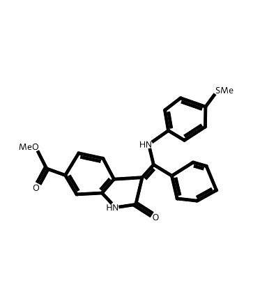 COC(=O)c1ccc2c(c1)NC(=O)C2=C(Nc1ccc(SC)cc1)c1ccccc1